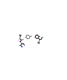 O=C(O)c1cc(C2CC2)c2cc(OCC34CCC(OCc5c(-c6c(Cl)cncc6Cl)noc5C5CC5)(CC3)CC4)cc(F)c2n1